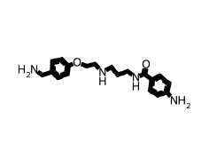 NCc1ccc(OCCNCCCNC(=O)c2ccc(N)cc2)cc1